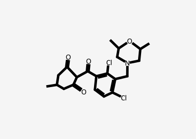 CC1CC(=O)C(C(=O)c2ccc(Cl)c(CN3CC(C)OC(C)C3)c2Cl)C(=O)C1